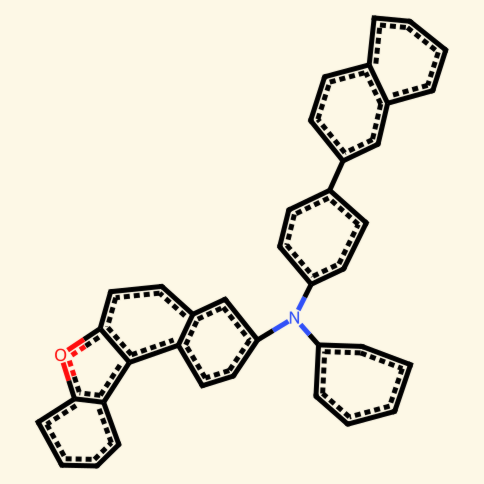 c1ccc(N(c2ccc(-c3ccc4ccccc4c3)cc2)c2ccc3c(ccc4oc5ccccc5c43)c2)cc1